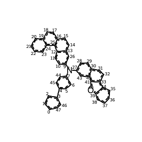 c1ccc(-c2ccc(N(c3ccc4c(ccc5ccc6ccccc6c54)c3)c3ccc4ccc5c6ccccc6oc5c4c3)cc2)cc1